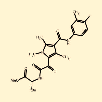 COC(=O)[C@H](NC(=O)C(=O)c1c(C)c(C(=O)Nc2ccc(F)c(C)c2)c(C)n1C)C(C)(C)C